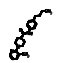 CCCCc1ccc(NC(=O)N2CCN(c3ncccc3C)CC2)cc1